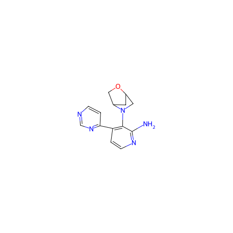 Nc1nccc(-c2ccncn2)c1N1CC2CC1CO2